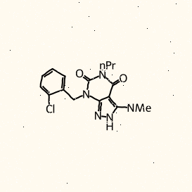 CCCn1c(=O)c2c(NC)[nH]nc2n(Cc2ccccc2Cl)c1=O